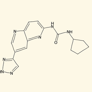 O=C(Nc1ccc2ncc(-c3cn[nH]n3)cc2n1)NC1CCCC1